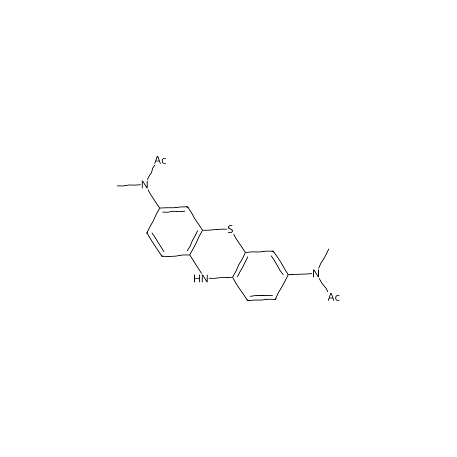 CC(=O)N(C)c1ccc2c(c1)Sc1cc(N(C)C(C)=O)ccc1N2